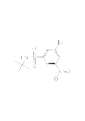 CC(C)(C)NS(=O)(=O)c1cc(Br)cc([N+](=O)[O-])c1